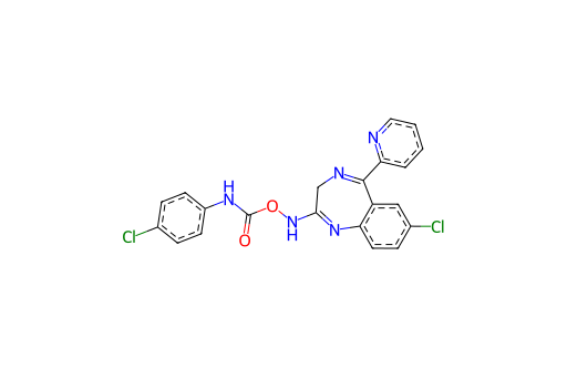 O=C(Nc1ccc(Cl)cc1)ONC1=Nc2ccc(Cl)cc2C(c2ccccn2)=NC1